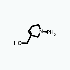 OCC1=CCCN(P)C1